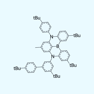 Cc1cc2c3c(c1)N(c1cc(-c4ccc(C(C)(C)C)cc4)cc(C(C)(C)C)c1)c1cc(C(C)(C)C)ccc1B3c1cc(C(C)(C)C)ccc1N2c1ccc(C(C)(C)C)cc1